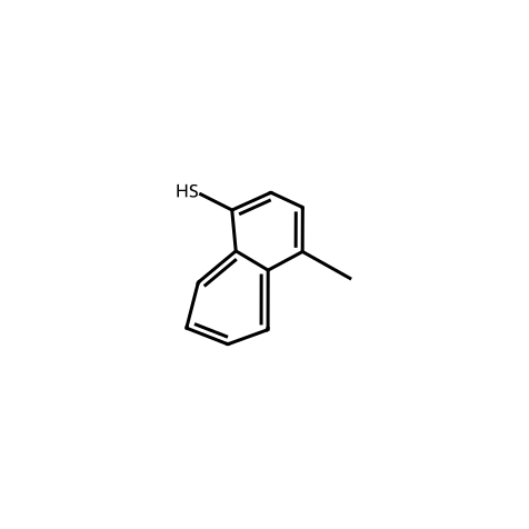 Cc1ccc(S)c2ccccc12